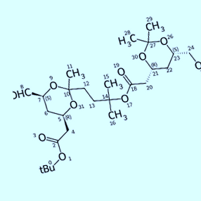 CC(C)(C)OC(=O)C[C@H]1C[C@@H](C=O)OC(C)(CCC(C)(C)OC(=O)C[C@H]2C[C@@H](CO)OC(C)(C)O2)O1